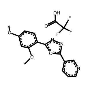 COc1ccc(-c2nnc(-c3cccnc3)o2)c(OC)c1.O=C(O)C(F)(F)F